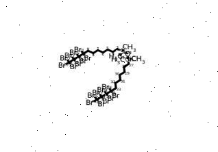 C[Si](C)(CCCCCCCC(Br)(Br)C(Br)(Br)C(Br)(Br)C(Br)(Br)Br)O[Si](C)(C)CCCCCCCC(Br)(Br)C(Br)(Br)C(Br)(Br)C(Br)(Br)Br